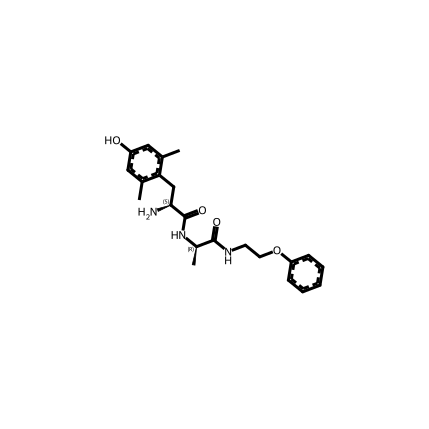 Cc1cc(O)cc(C)c1C[C@H](N)C(=O)N[C@H](C)C(=O)NCCOc1ccccc1